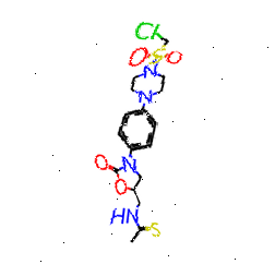 CC(=S)NCC1CN(c2ccc(N3CCN(S(=O)(=O)CCl)CC3)cc2)C(=O)O1